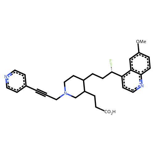 COc1ccc2nccc([C@@H](F)CCC3CCN(CC#Cc4ccncc4)CC3CCC(=O)O)c2c1